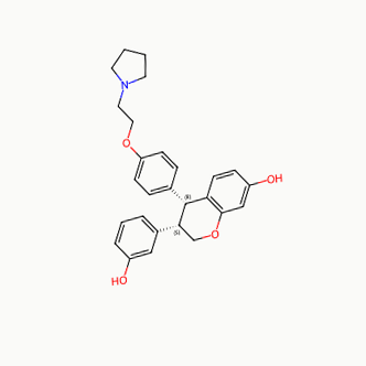 Oc1cccc([C@H]2COc3cc(O)ccc3[C@H]2c2ccc(OCCN3CCCC3)cc2)c1